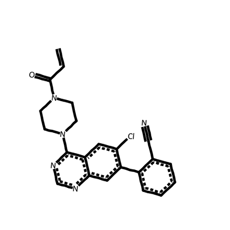 C=CC(=O)N1CCN(c2ncnc3cc(-c4ccccc4C#N)c(Cl)cc23)CC1